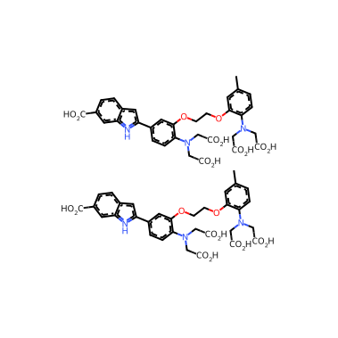 Cc1ccc(N(CC(=O)O)CC(=O)O)c(OCCOc2cc(-c3cc4ccc(C(=O)O)cc4[nH]3)ccc2N(CC(=O)O)CC(=O)O)c1.Cc1ccc(N(CC(=O)O)CC(=O)O)c(OCCOc2cc(-c3cc4ccc(C(=O)O)cc4[nH]3)ccc2N(CC(=O)O)CC(=O)O)c1